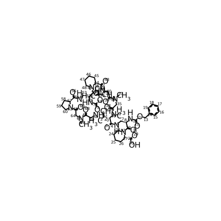 CC(C)[C@@H](C(=O)NC[C@@H](NC(=O)OCc1ccccc1)C(=O)N1CCCC[C@H]1C(=O)O)N(C)C(=O)CN(C)C(=O)CNC(=O)[C@@H]1CCCCN1C(=O)[C@@H](CNC(=O)[C@@H]1CCCN1C(=O)CN(C)C(=O)CN)NC(=O)OC(C)(C)C